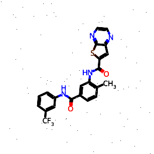 Cc1ccc(C(=O)Nc2cccc(C(F)(F)F)c2)cc1NC(=O)c1cc2nccnc2s1